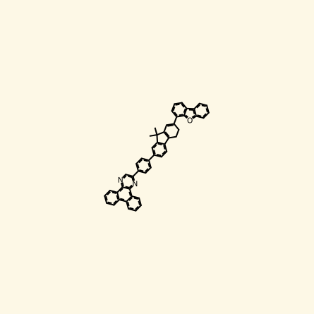 CC1(C)C2=C(CCC(c3cccc4c3oc3ccccc34)=C2)c2ccc(-c3ccc(-c4cnc5c6ccccc6c6ccccc6c5n4)cc3)cc21